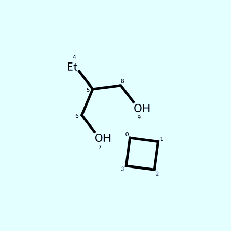 C1CCC1.CCC(CO)CO